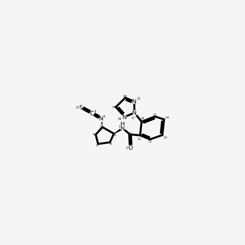 O=C(N[C@H]1CCC[C@@H]1N=C=S)c1ccccc1-n1nccn1